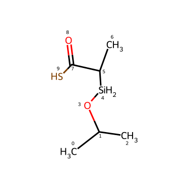 CC(C)O[SiH2]C(C)C(=O)S